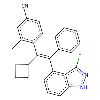 Cc1cc(C#N)ccc1/C(=C(\c1[c]cccc1)c1cccc2[nH]nc(F)c12)C1CCC1